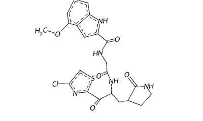 COc1cccc2[nH]c(C(=O)NCC(=O)NC(CC3CCNC3=O)C(=O)c3nc(Cl)cs3)cc12